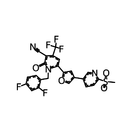 CS(=O)(=O)c1ccc(-c2coc(-c3cc(C(F)(F)F)c(C#N)c(=O)n3Cc3ccc(F)cc3F)c2)cn1